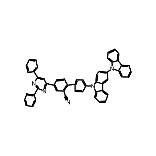 N#Cc1cc(-c2cc(-c3ccccc3)nc(-c3ccccc3)n2)ccc1-c1ccc(-n2c3ccccc3c3cc(-n4c5ccccc5c5ccccc54)ccc32)cc1